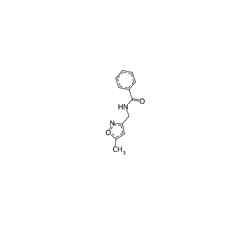 Cc1cc(CNC(=O)c2ccccc2)no1